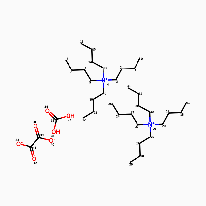 CCCC[N+](CCCC)(CCCC)CCCC.CCCC[N+](CCCC)(CCCC)CCCC.O=C(O)O.O=C([O-])C(=O)[O-]